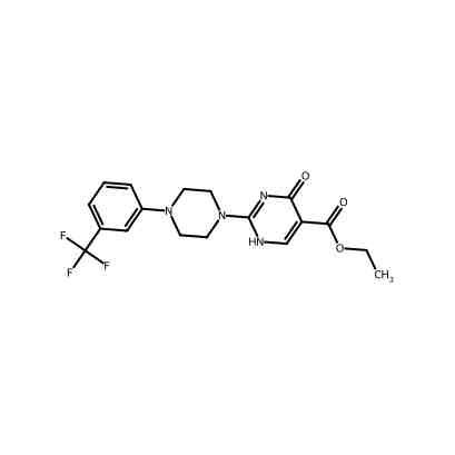 CCOC(=O)c1c[nH]c(N2CCN(c3cccc(C(F)(F)F)c3)CC2)nc1=O